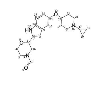 O=CN1CCOC(c2cc3cc(OC4CCN(C5CC5)CC4)cnc3[nH]2)C1